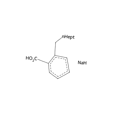 CCCCCCCCc1ccccc1C(=O)O.[NaH]